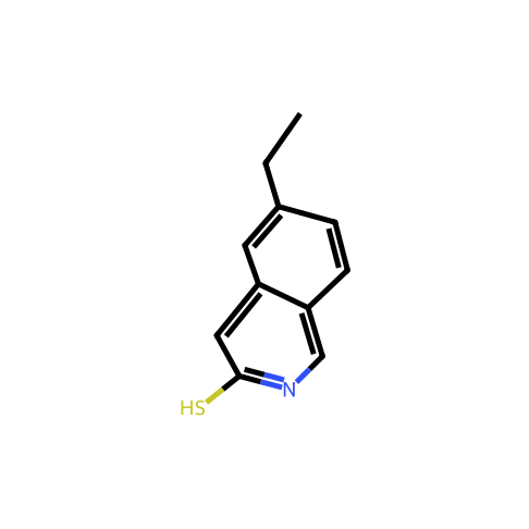 CCc1ccc2cnc(S)cc2c1